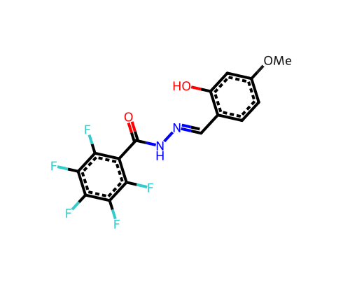 COc1ccc(/C=N/NC(=O)c2c(F)c(F)c(F)c(F)c2F)c(O)c1